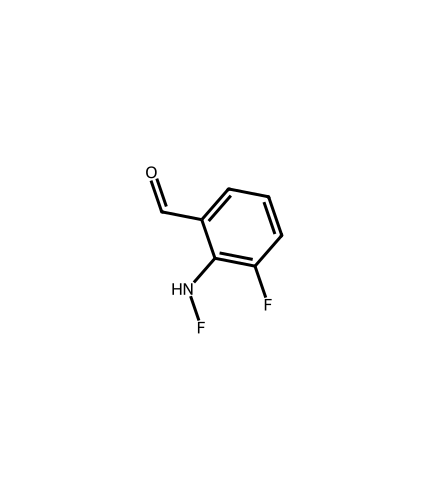 O=Cc1cccc(F)c1NF